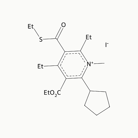 CCOC(=O)c1c(CC)c(C(=O)SCC)c(CC)[n+](C)c1C1CCCC1.[I-]